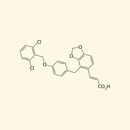 O=C(O)/C=C/c1ccc2c(c1Cc1ccc(OCc3c(Cl)cccc3Cl)cc1)OCO2